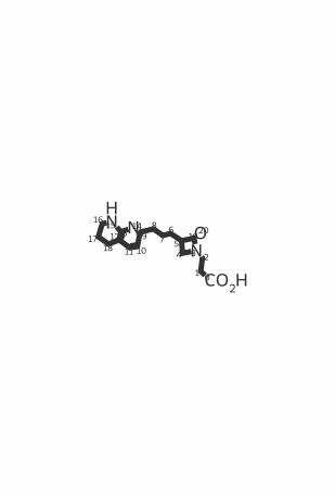 O=C(O)CCN1CC(CCCc2ccc3c(n2)NCCC3)C1=O